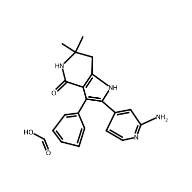 CC1(C)Cc2[nH]c(-c3ccnc(N)c3)c(-c3ccccc3)c2C(=O)N1.O=CO